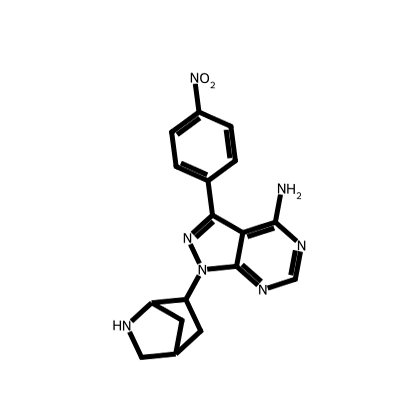 Nc1ncnc2c1c(-c1ccc([N+](=O)[O-])cc1)nn2C1CC2CNC1C2